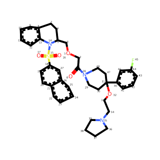 O=C(COCC1CCc2ccccc2N1S(=O)(=O)c1ccc2ccccc2c1)N1CCC(OCCN2CCCC2)(c2cccc(F)c2)CC1